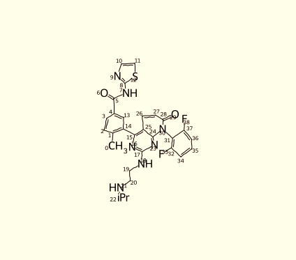 Cc1ccc(C(=O)Nc2nccs2)cc1-c1nc(NCCNC(C)C)nc2c1ccc(=O)n2-c1c(F)cccc1F